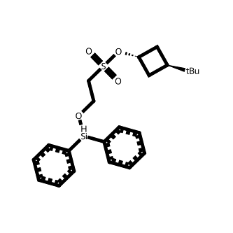 CC(C)(C)[C@H]1C[C@H](OS(=O)(=O)CCO[SiH](c2ccccc2)c2ccccc2)C1